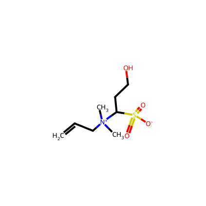 C=CC[N+](C)(C)C(CCO)S(=O)(=O)[O-]